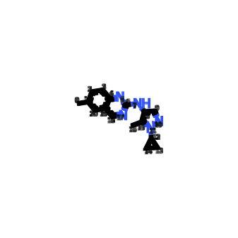 Cc1ccc2nc(Nc3cnn(C4CC4)c3C)ncc2c1